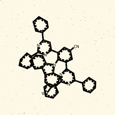 CC(C)(C)c1ccc2c(c1)c1ccccc1n2-c1c(-c2cc(-c3ccccc3)nc(-c3ccccc3)n2)cc(C#N)cc1-c1cc(-c2ccccc2)nc(-c2ccccc2)n1